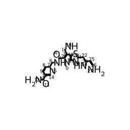 Cn1c(C(=O)NCc2ccc(C(N)=O)cn2)c(C=N)c2sc(CC(=N)/C=C\N)nc21